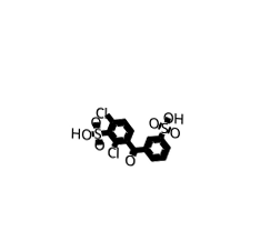 O=C(c1cccc(S(=O)(=O)O)c1)c1ccc(Cl)c(S(=O)(=O)O)c1Cl